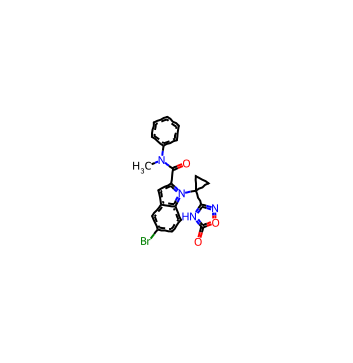 CN(C(=O)c1cc2cc(Br)ccc2n1C1(c2noc(=O)[nH]2)CC1)c1ccccc1